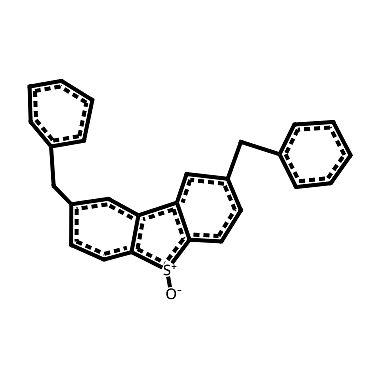 [O-][s+]1c2ccc(Cc3ccccc3)cc2c2cc(Cc3ccccc3)ccc21